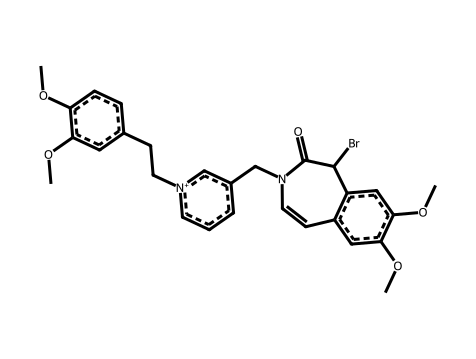 COc1ccc(CC[n+]2cccc(CN3C=Cc4cc(OC)c(OC)cc4C(Br)C3=O)c2)cc1OC